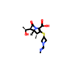 CN=CN1CC(SC2=C(C(=O)O)N3C(=O)[C@H]([C@@H](C)O)[C@H]3[C@H]2C)C1